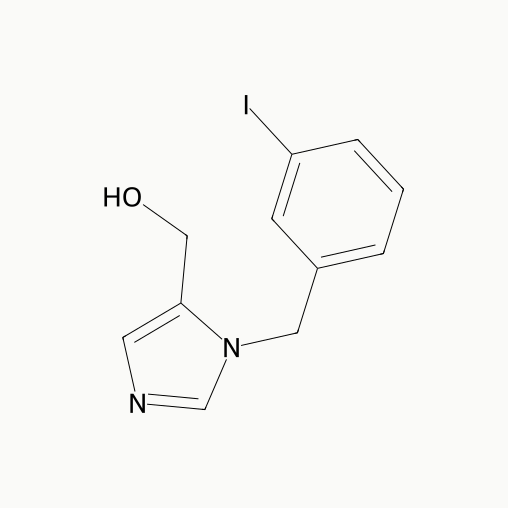 OCc1cncn1Cc1cccc(I)c1